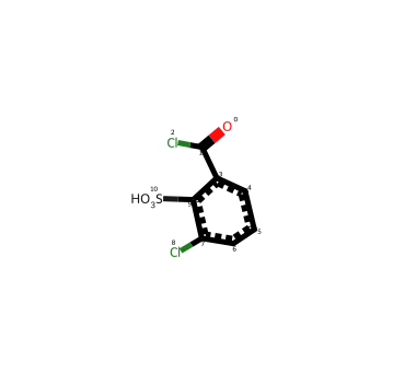 O=C(Cl)c1cccc(Cl)c1S(=O)(=O)O